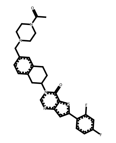 CC(=O)N1CCN(Cc2ccc3c(c2)CCC(n2cnc4cc(-c5ccc(F)cc5F)sc4c2=O)C3)CC1